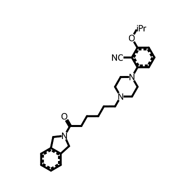 CC(C)Oc1cccc(N2CCN(CCCCCC(=O)N3Cc4ccccc4C3)CC2)c1C#N